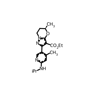 CCOC(=O)c1c(-c2cnc(NC(C)C)cc2C)nn2c1O[C@H](C)CC2